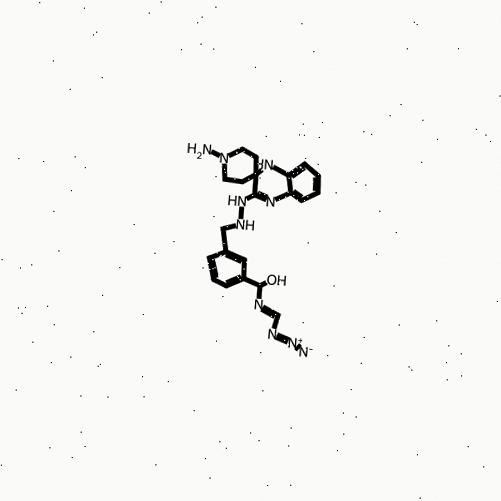 [N-]=[N+]=NC=NC(O)c1cccc(CNNC2=Nc3ccccc3NC23CCN(N)CC3)c1